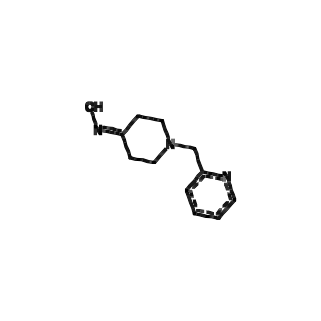 ON=C1CCN(Cc2ccccn2)CC1